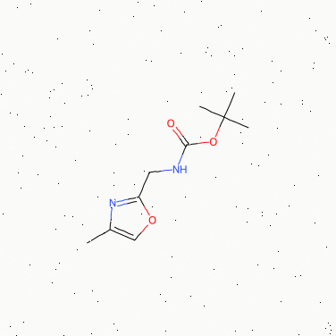 Cc1coc(CNC(=O)OC(C)(C)C)n1